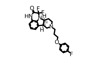 O=C1Nc2cccc3c2N([C@H]2CCN(CCCOc4ccc(F)cc4)C[C@@H]32)C1(F)F